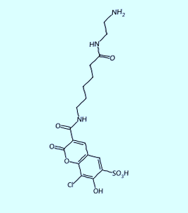 NCCNC(=O)CCCCCNC(=O)c1cc2cc(S(=O)(=O)O)c(O)c(Cl)c2oc1=O